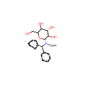 CON(C(c1ccccc1)c1ccccc1)[C@@H]1OC(CO)[C@@H](O)[C@H](O)C1O